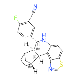 N#Cc1cc([C@@H]2Nc3ccc4scnc4c3[C@H]3[C@@H]4CCC(C4)[C@H]32)ccc1F